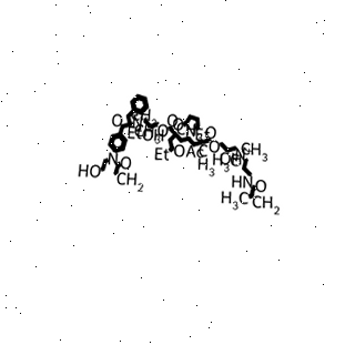 C=CC(=O)N(CCO)c1ccc(C(=O)C(CC)(Cc2ccccc2)[N+](C)(C)CC(O)COC(=O)C(C)(CC(CC)OC(C)=O)CC(CC(C)(CC)C(=O)OCC(O)C[N+](C)(C)CCCNC(=O)C(=C)C)N2CCCC2=O)cc1